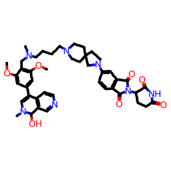 COc1cc(C2=CN(C)C(O)c3cnccc32)cc(OC)c1CN(C)CCCCN1CCC2(CC1)CCN(c1ccc3c(c1)C(=O)N(C1CCC(=O)NC1=O)C3=O)C2